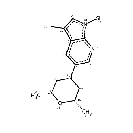 C[C@@H]1CN(c2cnc3c(c2)c(I)cn3S)C[C@H](C)O1